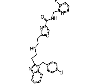 O=C(NCc1ncccc1F)c1coc(CCNCCc2nc3ccccc3n2Cc2ccc(Cl)cc2)n1